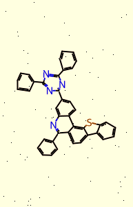 c1ccc(-c2nc(-c3ccccc3)nc(-c3ccc4c(c3)nc(-c3ccccc3)c3ccc5c6ccccc6sc5c34)n2)cc1